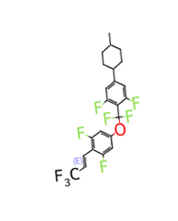 CC1CCC(c2cc(F)c(C(F)(F)Oc3cc(F)c(/C=C/C(F)(F)F)c(F)c3)c(F)c2)CC1